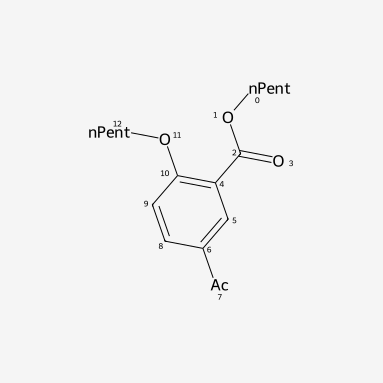 CCCCCOC(=O)c1cc(C(C)=O)ccc1OCCCCC